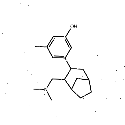 Cc1cc(O)cc(C2CC3CCC(C3)C2CN(C)C)c1